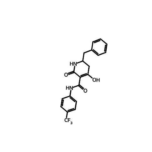 O=C(Nc1ccc(C(F)(F)F)cc1)C1=C(O)CC(Cc2ccccc2)NC1=O